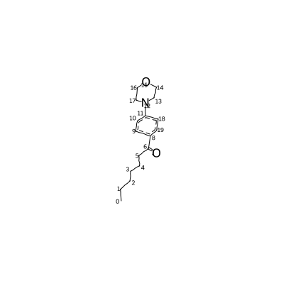 CCCCCCC(=O)c1ccc(N2CCOCC2)cc1